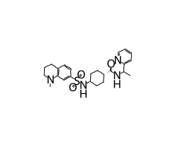 CC(NC(=O)[C@H]1CC[C@H](NS(=O)(=O)c2ccc3c(c2)N(C)CCC3)CC1)c1ccccn1